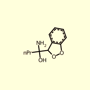 CCCC(N)(O)C1OOc2ccccc21